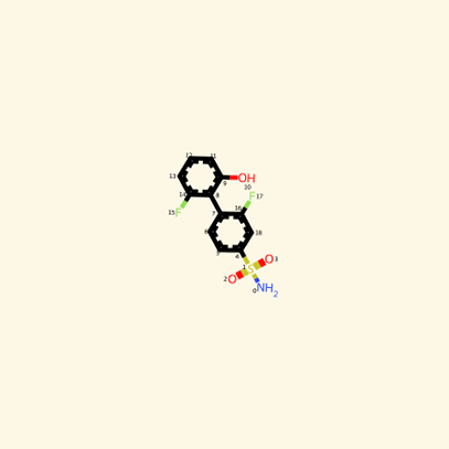 NS(=O)(=O)c1ccc(-c2c(O)cccc2F)c(F)c1